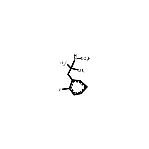 CC(C)(Cc1ccccc1Br)NC(=O)O